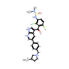 CCN(C)[S+]([O-])Nc1ccc(F)c(C(=O)c2c[nH]c3ncc(-c4ccc(CN5CCC(C(=O)O)C5)cc4)cc23)c1F